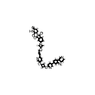 Cn1c2ccncc2c2ccc(-c3ccc(O[C@H]4C[C@@H](Oc5ccc(C#CCOC6CN(c7ccc8c(c7)C(=O)N(C7CCC(=O)NC7=O)C8=O)C6)nc5)C4)nc3)cc21